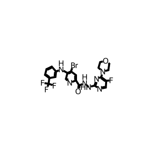 O=C(NNc1ncc(F)c(N2CCOCC2)n1)c1cc(Br)c(Nc2cccc(C(F)(F)F)c2)cn1